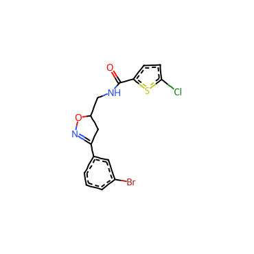 O=C(NCC1CC(c2cccc(Br)c2)=NO1)c1ccc(Cl)s1